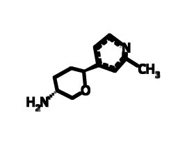 Cc1cc([C@@H]2CC[C@@H](N)CO2)ccn1